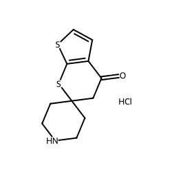 Cl.O=C1CC2(CCNCC2)Sc2sccc21